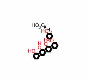 C=CC(=O)O.Oc1ccccc1.Oc1ccccc1.Oc1ccccc1.Oc1ccccc1.Oc1ccccc1